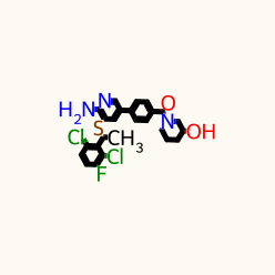 CC(Sc1cc(-c2ccc(C(=O)N3CCCC(O)C3)cc2)cnc1N)c1c(Cl)ccc(F)c1Cl